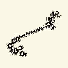 CC(=O)Nc1cc(NCCOCCOCCOCCOCCNC(=O)CN2CCN(c3cccc(-c4cnc5ccc(N6CCC[C@@H]6c6cccc(F)c6)nn45)n3)CC2)ccc1C(=O)Nc1nc(C)c([N+](=O)[O-])s1